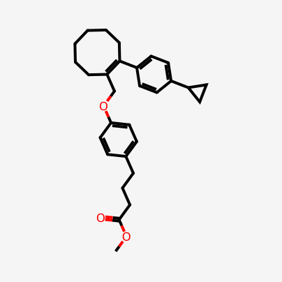 COC(=O)CCCc1ccc(OCC2=C(c3ccc(C4CC4)cc3)CCCCCC2)cc1